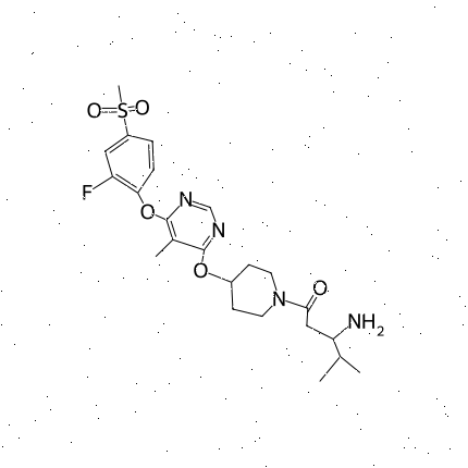 Cc1c(Oc2ccc(S(C)(=O)=O)cc2F)ncnc1OC1CCN(C(=O)CC(N)C(C)C)CC1